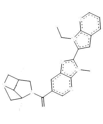 CCn1c(-c2nc3cc(C(=O)N4C[C@@H]5CN6C[C@H]4[C@H]56)cnc3n2C)cc2cccnc21